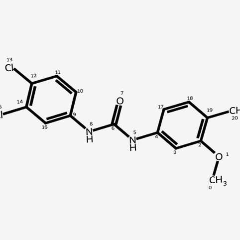 COc1cc(NC(=O)Nc2ccc(Cl)c(Cl)c2)ccc1C